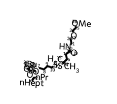 CCCCCCCC(CCC)OP(=O)(OCCCCSSC(C)(C)CCC(=O)NCCOCCOC)OC(C)(C)C